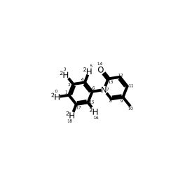 [2H]c1c([2H])c([2H])c(-n2cc(C)ccc2=O)c([2H])c1[2H]